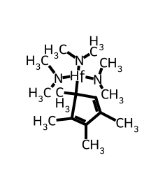 CC1=C[C](C)([Hf]([N](C)C)([N](C)C)[N](C)C)C(C)=C1C